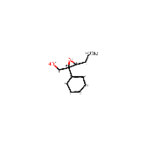 COCC1OC1(CO)C1CCCCC1